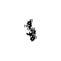 CCc1cc2c(s1)-n1c(nnc1CNC(=O)c1cc3cc(Cl)ccc3[nH]1)CN=C2c1ccccc1Cl